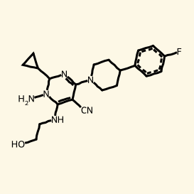 N#CC1=C(NCCO)N(N)C(C2CC2)N=C1N1CCC(c2ccc(F)cc2)CC1